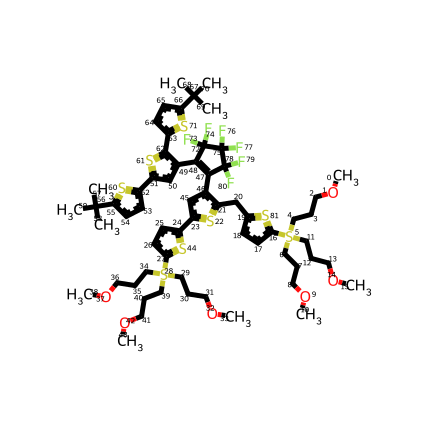 COCCCS(CCCOC)(CCCOC)c1ccc(Cc2sc(-c3ccc(S(CCCOC)(CCCOC)CCCOC)s3)cc2C2=C(c3cc(-c4ccc(C(C)(C)C)s4)sc3-c3ccc(C(C)(C)C)s3)C(F)(F)C(F)(F)C2(F)F)s1